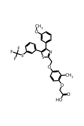 COc1cccc(-c2nc(COc3ccc(OCC(=O)O)c(C)c3)sc2-c2cccc(SC(F)(F)F)c2)c1